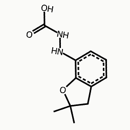 CC1(C)Cc2cccc(NNC(=O)O)c2O1